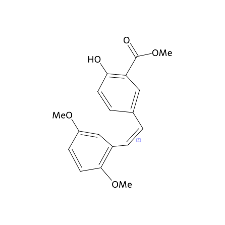 COC(=O)c1cc(/C=C\c2cc(OC)ccc2OC)ccc1O